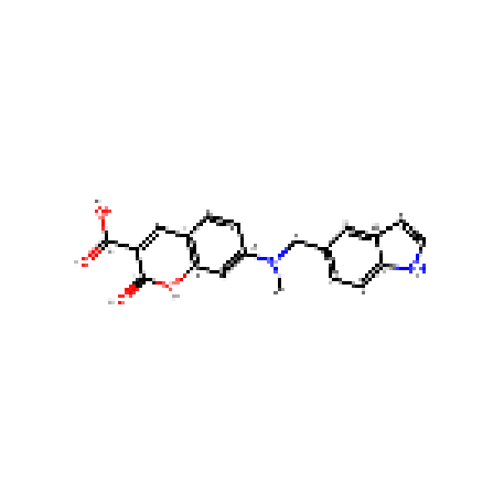 CN(Cc1ccc2[nH]ccc2c1)c1ccc2cc(C(=O)O)c(=O)oc2c1